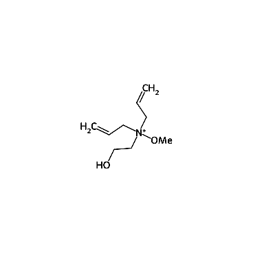 C=CC[N+](CC=C)(CCO)OC